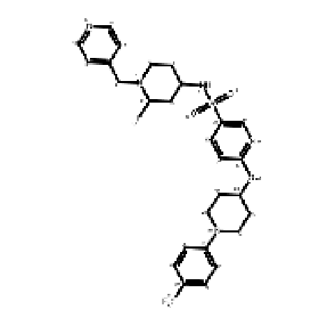 O=S(=O)(NC1CCN(Cc2ccncc2)C(I)C1)c1ccc(OC2CCN(c3ccc(C(F)(F)F)cc3)CC2)nc1